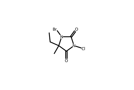 CCC1(C)C(=O)N(Cl)C(=O)N1Br